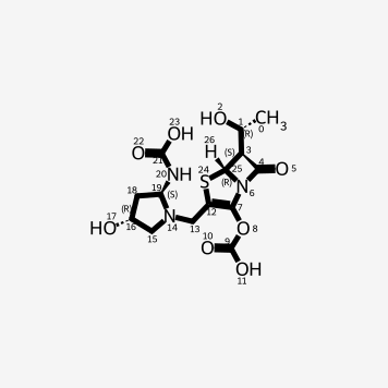 C[C@@H](O)[C@H]1C(=O)N2C(OC(=O)O)=C(CN3C[C@H](O)C[C@H]3NC(=O)O)S[C@H]12